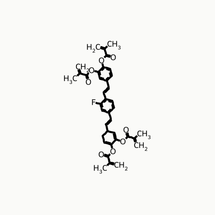 C=C(C)C(=O)OC1=CCC(/C=C/c2ccc(/C=C/c3ccc(OC(=O)C(=C)C)c(OC(=O)C(=C)C)c3)c(F)c2)C=C1OC(=O)C(=C)C